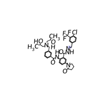 CC(O)CN(Cc1cccc(C(=O)Nc2ccc(N3CCCC3=O)cc2C(=O)N/N=C/c2ccc(Cl)c(C(F)(F)F)c2)c1)CC(C)O